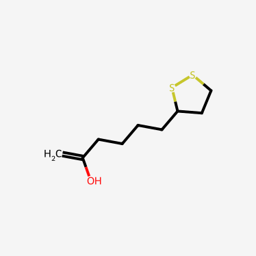 C=C(O)CCCCC1CCSS1